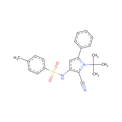 Cc1ccc(S(=O)(=O)Nc2cc(-c3ccccc3)n(C(C)(C)C)c2C#N)cc1